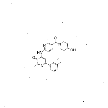 Cc1cccc(-c2cc(Nc3ccc(C(=O)N4CCC(O)CC4)cn3)c(=O)n(C)n2)c1